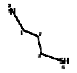 [N]CCCS